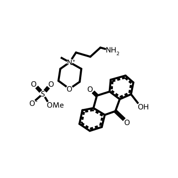 COS(=O)(=O)[O-].C[N+]1(CCCN)CCOCC1.O=C1c2ccccc2C(=O)c2c(O)cccc21